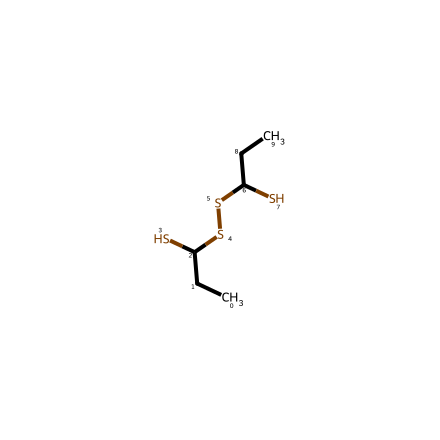 CCC(S)SSC(S)CC